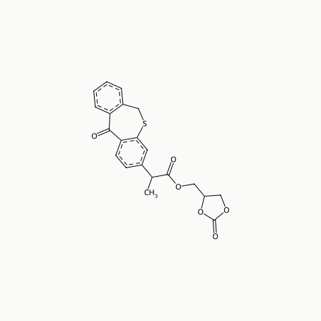 CC(C(=O)OCC1COC(=O)O1)c1ccc2c(c1)SCc1ccccc1C2=O